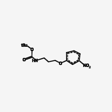 CC(C)(C)OC(=O)NCCCOc1cccc([N+](=O)[O-])c1